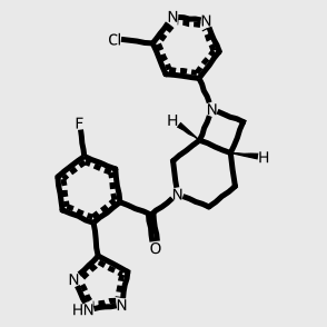 O=C(c1cc(F)ccc1-c1cn[nH]n1)N1CC[C@H]2CN(c3cnnc(Cl)c3)[C@H]2C1